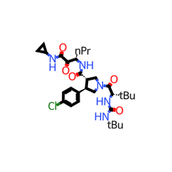 CCC[C@H](NC(=O)[C@@H]1CN(C(=O)[C@@H](NC(=O)NC(C)(C)C)C(C)(C)C)C[C@H]1c1ccc(Cl)cc1)C(=O)C(=O)NC1CC1